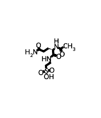 CC(=O)N[C@@H](CCC(N)=O)C(=O)NCCS(=O)(=O)O